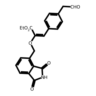 CCOC(=O)C(=Cc1ccc(CC=O)cc1)OCc1cccc2c1C(=O)NC2=O